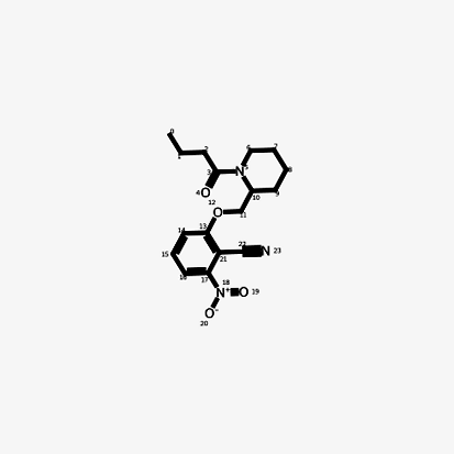 CCCC(=O)N1CCCCC1COc1cccc([N+](=O)[O-])c1C#N